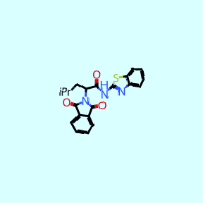 CC(C)CC(C(=O)Nc1nc2ccccc2s1)N1C(=O)c2ccccc2C1=O